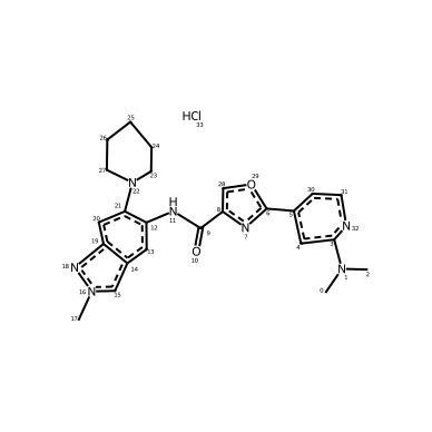 CN(C)c1cc(-c2nc(C(=O)Nc3cc4cn(C)nc4cc3N3CCCCC3)co2)ccn1.Cl